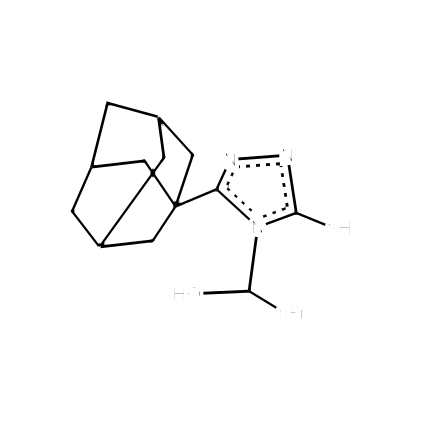 CCCC(O)n1c(S)nnc1C12CC3CC(CC(C3)C1)C2